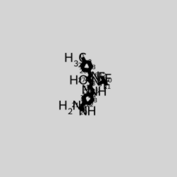 Cc1ccc(-c2nn(CC(F)(F)F)c(-c3nc4cc(C(=N)N)ccc4[nH]3)c2O)cc1